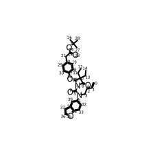 C=CCCN(C(=O)N1C(=O)C(CC)(CC)[C@H]1Oc1ccc(CC(=O)OC(C)(C)C)cc1)c1ccc2occc2c1